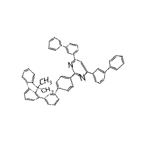 CC1(C)c2ccccc2-c2cccc(-c3cccc(-c4ccc(-c5nc(-c6cccc(-c7ccccc7)c6)cc(-c6cccc(-c7ccccc7)c6)n5)cc4)c3)c21